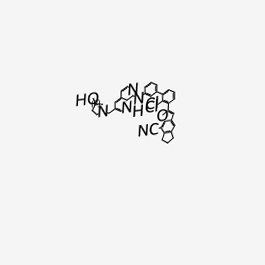 N#Cc1c2c(cc3cc(-c4cccc(-c5cccc(Nc6nccc7cc(CN8CC[C@@H](O)C8)cnc67)c5Cl)c4Cl)oc13)CCC2